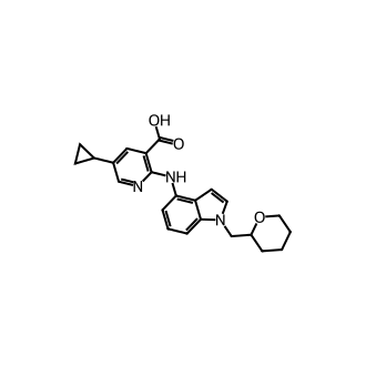 O=C(O)c1cc(C2CC2)cnc1Nc1cccc2c1ccn2CC1CCCCO1